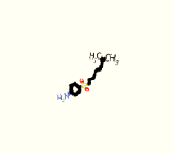 CC(C)CCCCCS(=O)(=O)c1ccc(N)cc1